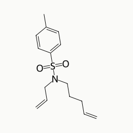 C=CCCCN(CC=C)S(=O)(=O)c1ccc(C)cc1